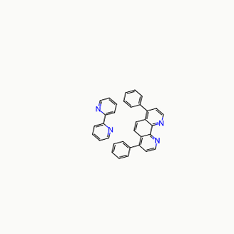 c1ccc(-c2ccccn2)nc1.c1ccc(-c2ccnc3c2ccc2c(-c4ccccc4)ccnc23)cc1